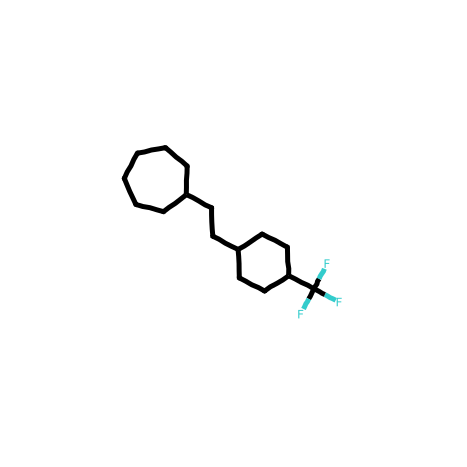 FC(F)(F)C1CCC(CCC2CCCCCC2)CC1